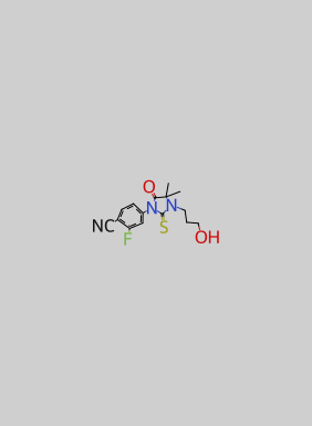 CC1(C)C(=O)N(c2ccc(C#N)c(F)c2)C(=S)N1CCCO